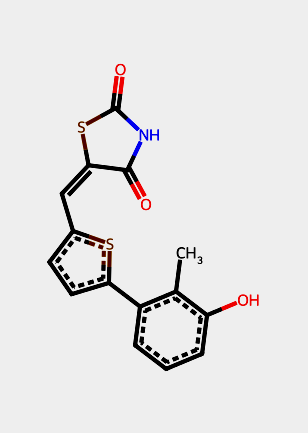 Cc1c(O)cccc1-c1ccc(C=C2SC(=O)NC2=O)s1